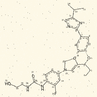 CCC(Oc1ccc(-c2noc(C(C)C)n2)cc1)C1=CN(c2ccc(NC(=O)NCCO)c(F)c2)CO1